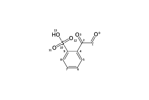 O=[C]C(=O)c1ccccc1S(=O)(=O)O